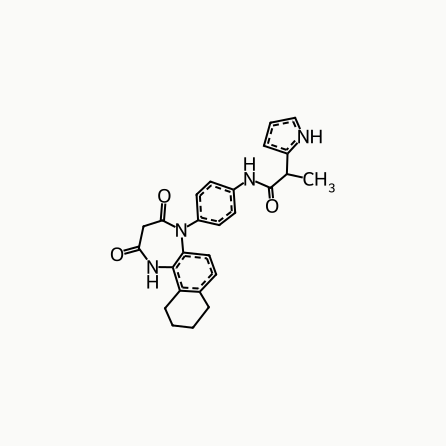 CC(C(=O)Nc1ccc(N2C(=O)CC(=O)Nc3c2ccc2c3CCCC2)cc1)c1ccc[nH]1